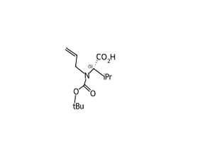 C=CCN(C(=O)OC(C)(C)C)[C@H](C(=O)O)C(C)C